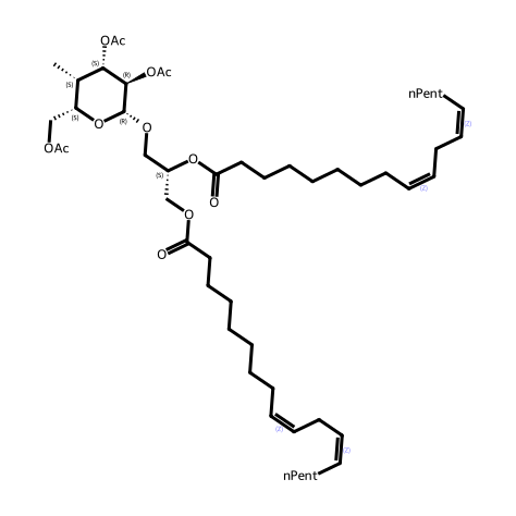 CCCCC/C=C\C/C=C\CCCCCCCC(=O)OC[C@H](CO[C@@H]1O[C@H](COC(C)=O)[C@H](C)[C@H](OC(C)=O)[C@H]1OC(C)=O)OC(=O)CCCCCCC/C=C\C/C=C\CCCCC